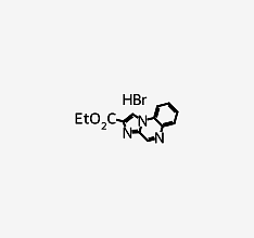 Br.CCOC(=O)c1cn2c(cnc3ccccc32)n1